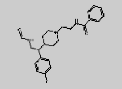 O=CNC[C@H](c1ccc(F)cc1)C1CCN(CCNC(=O)c2ccccc2)CC1